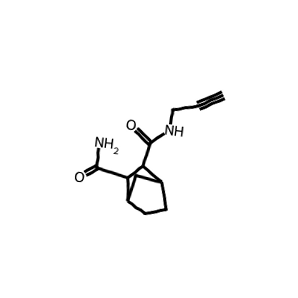 C#CCNC(=O)C1C2CCC(C2)C1C(N)=O